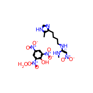 CN/C(=C\[N+](=O)[O-])NCCCCc1nc[nH]c1C.O.O=[N+]([O-])c1cc([N+](=O)[O-])c(O)c([N+](=O)[O-])c1